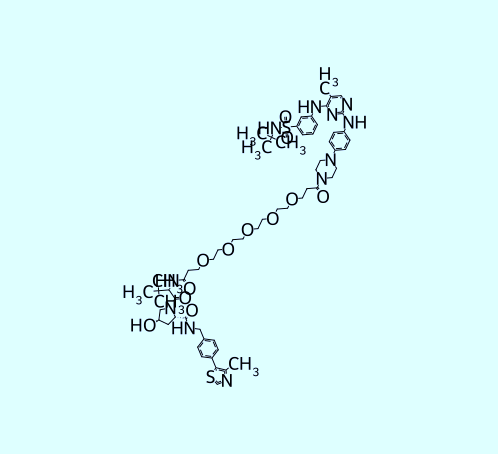 Cc1cnc(Nc2ccc(N3CCN(C(=O)CCOCCOCCOCCOCCOCCC(=O)N[C@H](C(=O)N4C[C@H](O)C[C@H]4C(=O)NCc4ccc(-c5scnc5C)cc4)C(C)(C)C)CC3)cc2)nc1Nc1cccc(S(=O)(=O)NC(C)(C)C)c1